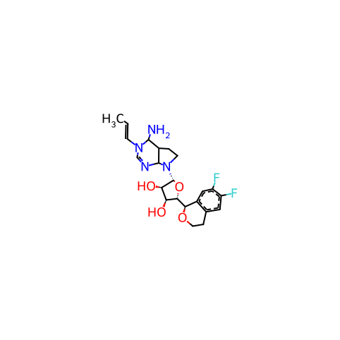 C/C=C/N1C=NC2C(CCN2[C@@H]2O[C@H]([C@@H]3OCCc4cc(F)c(F)cc43)[C@@H](O)[C@H]2O)C1N